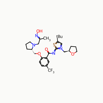 CC(CN1CCC[C@H]1COc1ccc(C(F)(F)F)cc1C(=O)/N=c1\sc(C(C)(C)C)cn1C[C@H]1CCCO1)=NO